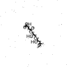 CCC(C)(C)CC(O)COCC(O)COC(=O)/C=C/C(=O)O